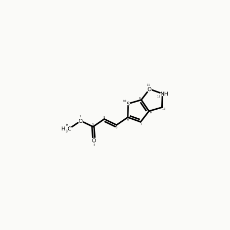 COC(=O)C=Cc1cc2c(s1)ONC2